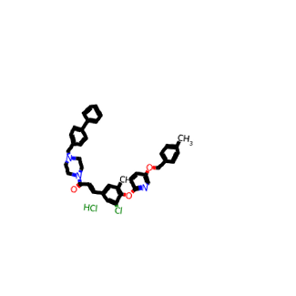 Cc1ccc(COc2ccc(Oc3c(C)cc(C=CC(=O)N4CCN(Cc5ccc(-c6ccccc6)cc5)CC4)cc3Cl)nc2)cc1.Cl